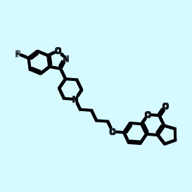 O=c1oc2cc(OCCCCN3CCC(c4noc5cc(F)ccc45)CC3)ccc2c2c1CCC2